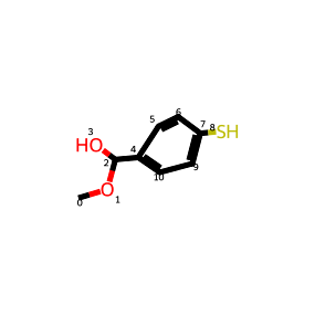 COC(O)c1ccc(S)cc1